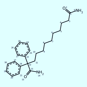 NC(=O)CCCCCCCCCC(C(N)=O)(c1ccccc1)c1ccccc1